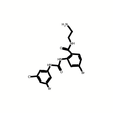 NCCNC(=O)c1ccc(Br)cc1NC(=O)Nc1cc(Cl)cc(Br)c1